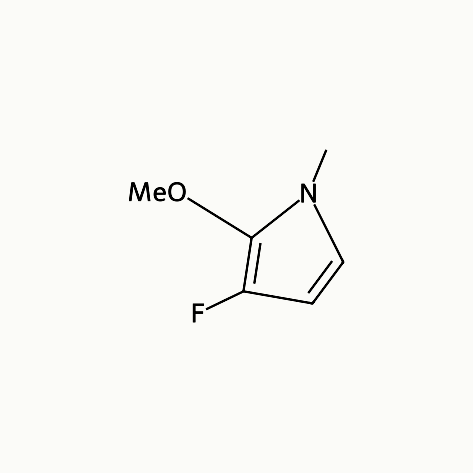 COc1c(F)ccn1C